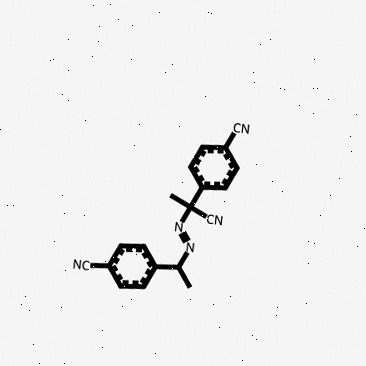 CC(/N=N/C(C)(C#N)c1ccc(C#N)cc1)c1ccc(C#N)cc1